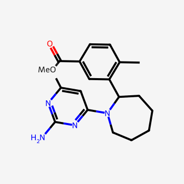 COC(=O)c1ccc(C)c(C2CCCCCN2c2cc(C)nc(N)n2)c1